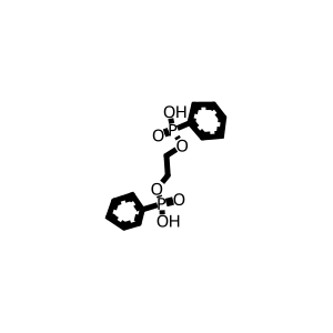 O=P(O)(OCCOP(=O)(O)c1ccccc1)c1ccccc1